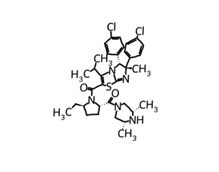 CC[C@@H]1CC[C@@H](C(=O)N2C[C@@H](C)N[C@@H](C)C2)N1C(=O)C1=C(C(C)C)N2C(=N[C@@](C)(c3ccc(Cl)cc3)[C@H]2c2ccc(Cl)cc2)S1